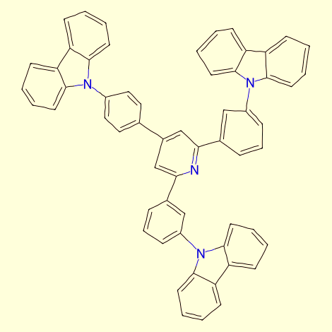 c1cc(-c2cc(-c3ccc(-n4c5ccccc5c5ccccc54)cc3)cc(-c3cccc(-n4c5ccccc5c5ccccc54)c3)n2)cc(-n2c3ccccc3c3ccccc32)c1